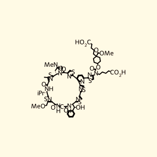 CNC(=O)C[C@@H]1NC(=O)c2csc(n2)-c2ccc(-c3nc(N(CCCCC(=O)O)C(=O)OC4CCC(CCCCC(=O)O)(C(=O)OC)CC4)cs3)nc2-c2csc(n2)-c2csc(n2)[C@H]([C@@H](O)c2ccccc2)NC(=O)CNC(=O)c2nc(sc2COC)[C@H](C(C)C)NC(=O)c2nc1sc2C